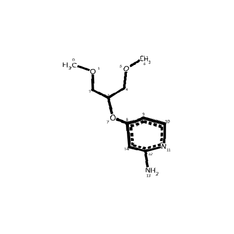 COCC(COC)Oc1ccnc(N)c1